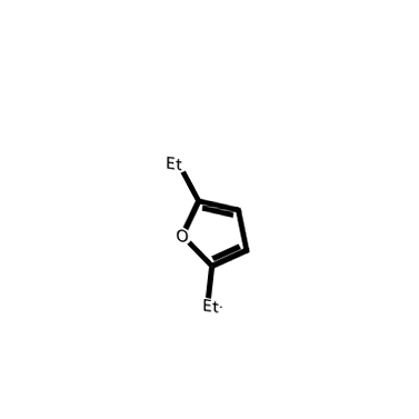 C[CH]c1ccc(CC)o1